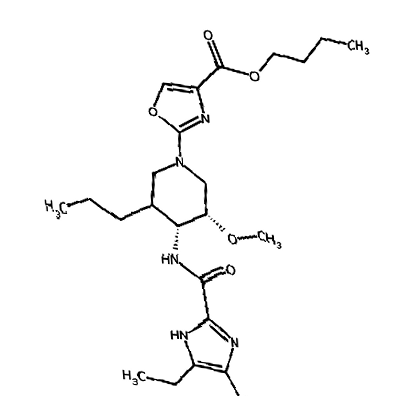 CCCCOC(=O)c1coc(N2CC(CCC)[C@@H](NC(=O)c3nc(Cl)c(CC)[nH]3)[C@@H](OC)C2)n1